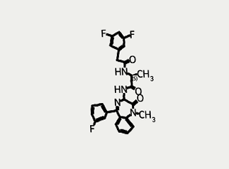 C[C@H](NC(=O)Cc1cc(F)cc(F)c1)C(=O)NC1N=C(c2cccc(F)c2)c2ccccc2N(C)C1=O